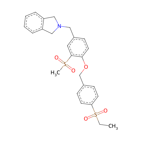 CCS(=O)(=O)c1ccc(COc2ccc(CN3Cc4ccccc4C3)cc2S(C)(=O)=O)cc1